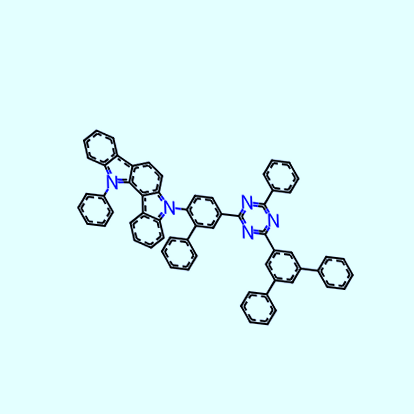 c1ccc(-c2cc(-c3ccccc3)cc(-c3nc(-c4ccccc4)nc(-c4ccc(-n5c6ccccc6c6c5ccc5c7ccccc7n(-c7ccccc7)c56)c(-c5ccccc5)c4)n3)c2)cc1